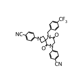 N#Cc1ccc(N2CC3(C2)C(=O)N(c2ccc(C#N)cc2)CC(=O)N3Cc2ccc(C(F)(F)F)cc2)cc1